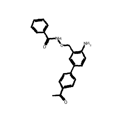 CC(=O)c1ccc(-c2ccc(N)c(CONC(=O)c3ccccc3)c2)cc1